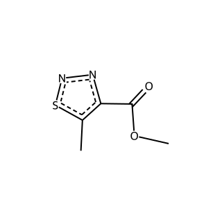 COC(=O)c1nnsc1C